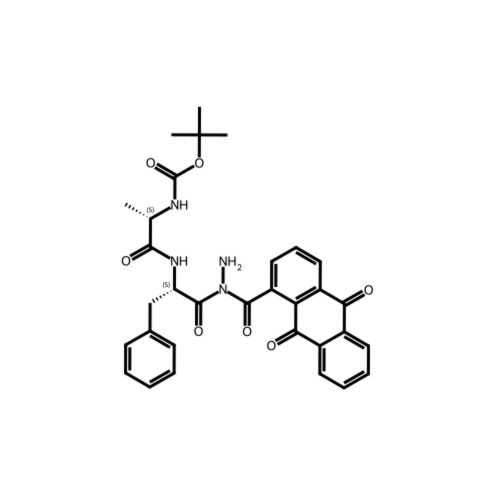 C[C@H](NC(=O)OC(C)(C)C)C(=O)N[C@@H](Cc1ccccc1)C(=O)N(N)C(=O)c1cccc2c1C(=O)c1ccccc1C2=O